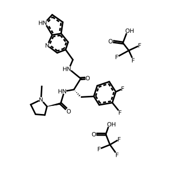 CN1CCC[C@@H]1C(=O)N[C@@H](Cc1ccc(F)c(F)c1)C(=O)NCc1cnc2[nH]ccc2c1.O=C(O)C(F)(F)F.O=C(O)C(F)(F)F